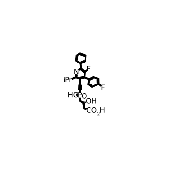 CC(C)c1nc(-c2ccccc2)c(F)c(-c2ccc(F)cc2)c1C#CP(=O)(O)C[C@@H](O)CC(=O)O